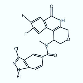 CCn1nc(Cl)c2cc(C(=O)N(C)C3COCc4[nH]c(=O)c5cc(F)c(F)cc5c43)ccc21